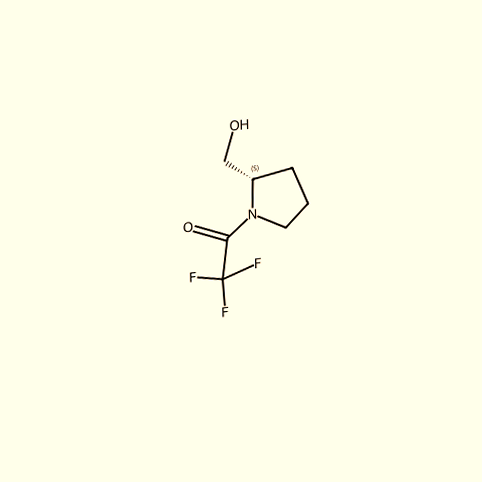 O=C(N1CCC[C@H]1CO)C(F)(F)F